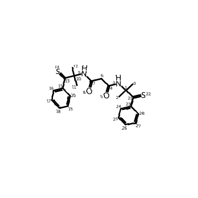 CC(C)(NC(=O)CC(=O)NC(C)(C)C(=S)c1ccccc1)C(=S)c1ccccc1